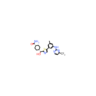 Cc1cc(Nc2nccc(C(F)(F)F)n2)cc(-c2cnc(C(O)[C@H]3CC[C@@H](C(N)=O)CC3)s2)c1